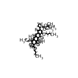 CCCCOc1cc(C2CCCN2C(=O)OC(C)(C)C)c(F)c2c1C(=O)C1=C(O)[C@]3(O)C(=O)c4c(OCCCC)noc4[C@@H](NCC)[C@@H]3C[C@@H]1C2